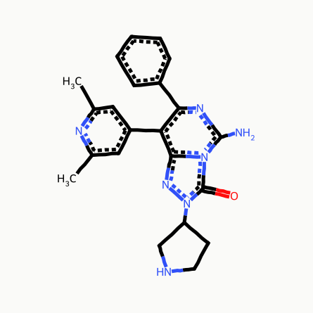 Cc1cc(-c2c(-c3ccccc3)nc(N)n3c(=O)n(C4CCNC4)nc23)cc(C)n1